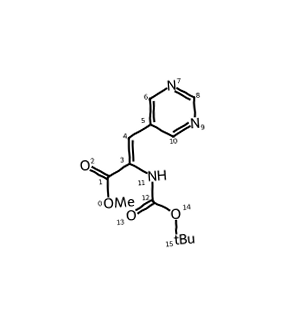 COC(=O)/C(=C/c1cncnc1)NC(=O)OC(C)(C)C